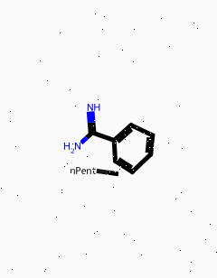 CCCCCC.N=C(N)c1ccccc1